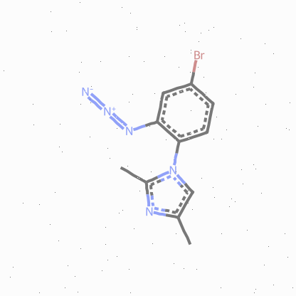 Cc1cn(-c2ccc(Br)cc2N=[N+]=[N-])c(C)n1